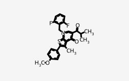 COc1ccc(-c2sc3c(c2C)c(=O)c(C(=O)C(C)C)cn3Cc2c(F)cccc2F)cc1